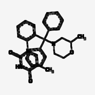 Cc1cn(-c2ccccc2C(c2ccccc2)(c2ccccc2)N2CCOC(C)C2)c(=O)[nH]c1=O